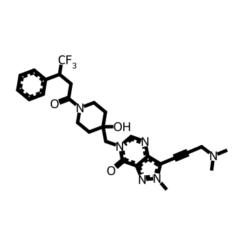 CN(C)CC#Cc1c2ncn(CC3(O)CCN(C(=O)CC(c4ccccc4)C(F)(F)F)CC3)c(=O)c2nn1C